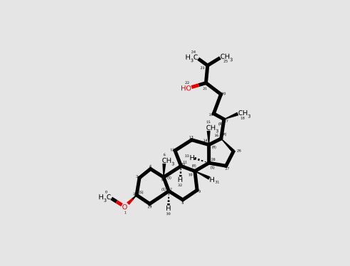 CO[C@H]1CC[C@@]2(C)[C@@H](CC[C@@H]3[C@@H]2CC[C@]2(C)[C@@H]([C@H](C)CCC(O)C(C)C)CC[C@@H]32)C1